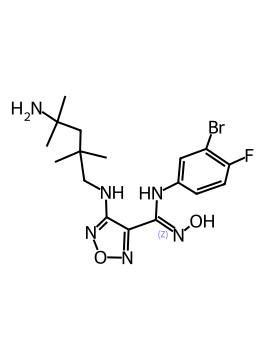 CC(C)(N)CC(C)(C)CNc1nonc1/C(=N/O)Nc1ccc(F)c(Br)c1